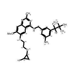 COc1cc2nc(C)nc(NCc3cc(N)cc(C(F)(F)C(C)(C)O)c3)c2cc1OCCOC1CC1F